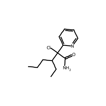 CCCC(CC)C(Cl)(C(N)=O)c1ccccn1